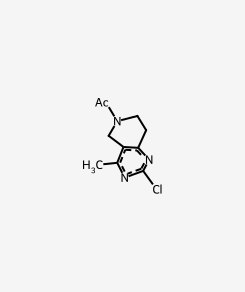 CC(=O)N1CCc2nc(Cl)nc(C)c2C1